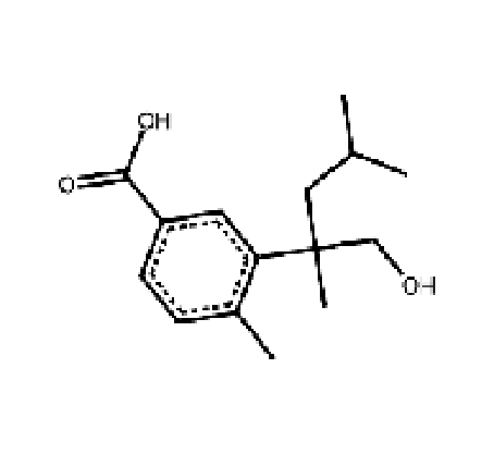 Cc1ccc(C(=O)O)cc1C(C)(CO)CC(C)C